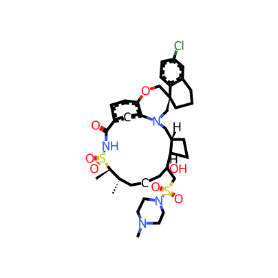 C[C@@H]1[C@@H](C)CCC[C@@](O)(CS(=O)(=O)N2CCN(C)CC2)[C@@H]2CC[C@H]2CN2C[C@@]3(CCCc4cc(Cl)ccc43)COc3ccc(cc32)C(=O)NS1(=O)=O